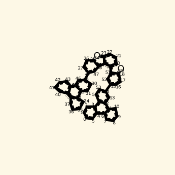 c1ccc2c(c1)c1ccccc1c1cc(-c3ccc4oc5ccc6oc7ccc(-c8ccc9c%10ccccc%10c%10ccccc%10c9c8)cc7c6c5c4c3)ccc21